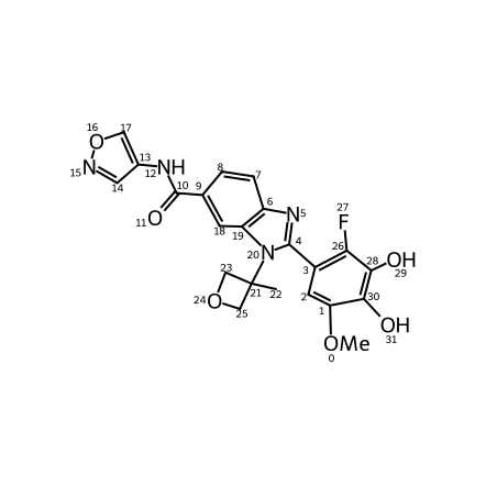 COc1cc(-c2nc3ccc(C(=O)Nc4cnoc4)cc3n2C2(C)COC2)c(F)c(O)c1O